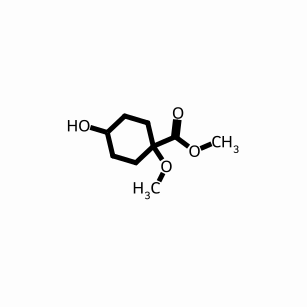 COC(=O)C1(OC)CCC(O)CC1